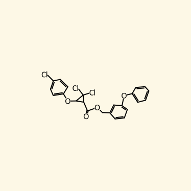 O=C(OCc1cccc(Oc2ccccc2)c1)C1C(Oc2ccc(Cl)cc2)C1(Cl)Cl